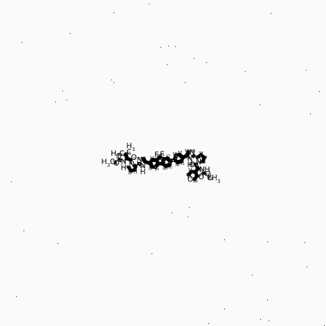 COC(=O)N[C@H](C(=O)N1CCC[C@H]1c1ncc(-c2ccc3c(c2)C(F)(F)c2cc(-c4ccc(-c5cnc([C@@H]6CCCN6C(=O)[C@@H](NC(=O)OC)C6CCOCC6)[nH]5)cc4)ccc2-3)[nH]1)C(C)C